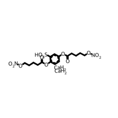 O=C(CCCCO[N+](=O)[O-])Oc1ccc(OC(=O)CCCCO[N+](=O)[O-])c(S(=O)(=O)O)c1.[CaH2].[CaH2]